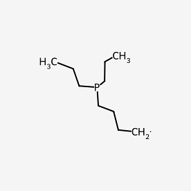 [CH2]CCCP(CCC)CCC